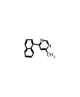 Cc1cc(-c2cccc3ccccc23)ncn1